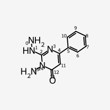 NNc1nc(-c2ccccc2)cc(=O)n1N